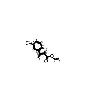 CCOC(=O)c1oc2ccc(Cl)cc2c1C